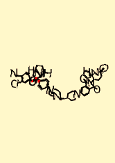 C[C@]1(Oc2ccc(C#N)c(Cl)c2)C[C@H]2CC[C@@H](C1)N2C(=O)c1ccc(N2CCN(CC3CCN(c4ccc5c(c4)C(=O)N(C4CCC(=O)NC4=O)C5=O)CC3)CC2)cc1